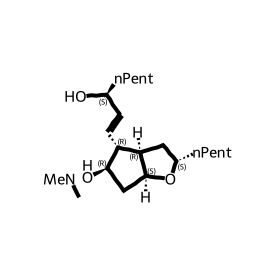 CCCCC[C@H]1C[C@@H]2[C@@H](C=C[C@@H](O)CCCCC)[C@H](O)C[C@@H]2O1.CNC